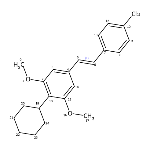 COc1cc(/C=C/c2ccc(Cl)cc2)cc(OC)c1C1CCCCC1